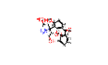 NC(CCO)(CCO)c1c(O)ccc(C(=O)c2ccccc2)c1O